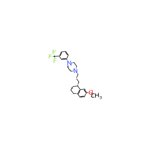 COc1ccc2c(c1)C(CCCN1CCN(c3cccc(C(F)(F)F)c3)CC1)CCC2